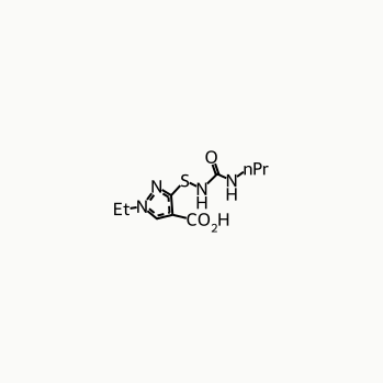 CCCNC(=O)NSc1nn(CC)cc1C(=O)O